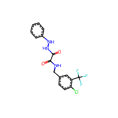 O=C(NCc1ccc(Cl)c(C(F)(F)F)c1)C(=O)NNc1ccccc1